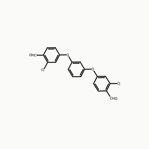 O=Cc1ccc(Oc2cccc(Oc3ccc(C=O)c(Cl)c3)c2)cc1Cl